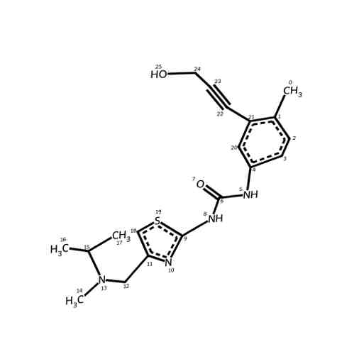 Cc1ccc(NC(=O)Nc2nc(CN(C)C(C)C)cs2)cc1C#CCO